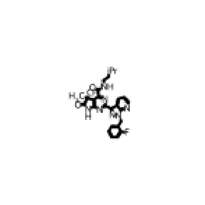 CC(C)CCNC(=O)c1nc(-c2nn(Cc3ccccc3F)c3ncccc23)nc2c1C(C)(C)C(=O)N2